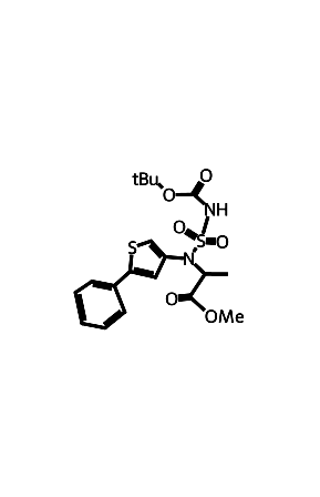 COC(=O)C(C)N(c1csc(-c2ccccc2)c1)S(=O)(=O)NC(=O)OC(C)(C)C